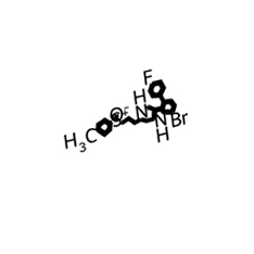 Cc1ccc([S+]([O-])CCCC2Cc3[nH]c4c(Br)ccc(-c5ccc(F)cc5)c4c3CN2)cc1